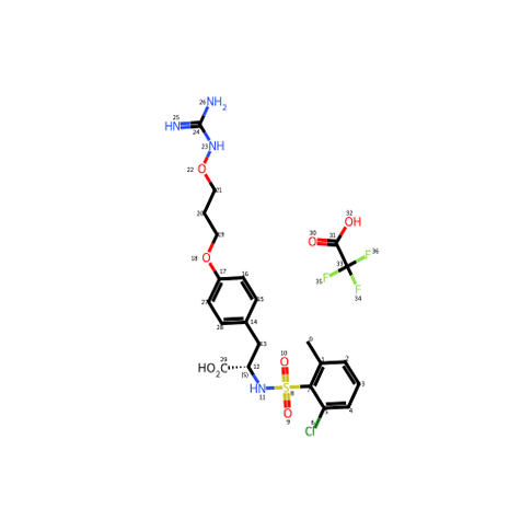 Cc1cccc(Cl)c1S(=O)(=O)N[C@@H](Cc1ccc(OCCCONC(=N)N)cc1)C(=O)O.O=C(O)C(F)(F)F